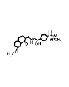 COc1ccc2c(c1)C(=O)C(CNCC(O)c1ccc(NS(C)(=O)=O)cc1)CC2